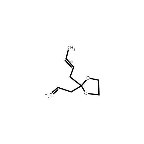 C=CCC1(C/C=C/C)OCCO1